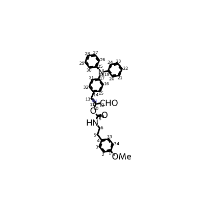 COc1ccc(CCNC(=O)O/C(C=O)=C/c2ccc(N(c3ccccc3)c3ccccc3)cc2)cc1